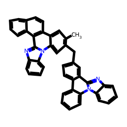 Cc1cc2c3ccc4ccccc4c3c3nc4ccccc4n3c2cc1Cc1ccc2c3ccccc3n3c4ccccc4nc3c2c1